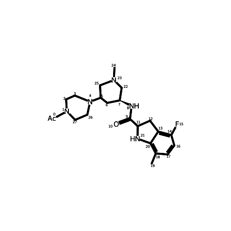 CC(=O)N1CCN(C2C[C@H](NC(=O)C3Cc4c(F)ccc(C)c4N3)CN(C)C2)CC1